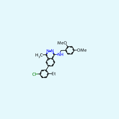 CCc1ccc(Cl)cc1-c1ccc2c(NCc3ccc(OC)cc3OC)nnc(C)c2c1